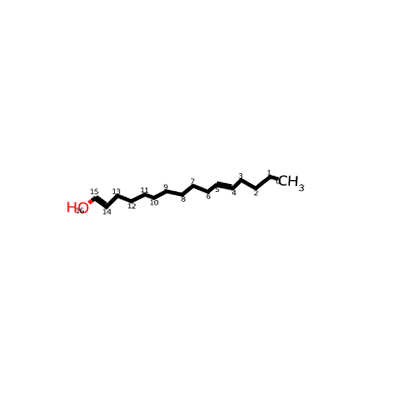 CCCCC=CCCCCCCCC/C=C/O